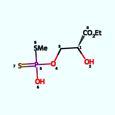 CCOC(=O)[C@H](O)COP(O)(=S)SC